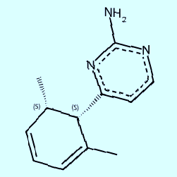 CC1=CC=C[C@H](C)[C@@H]1c1ccnc(N)n1